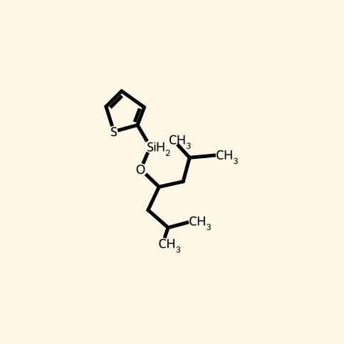 CC(C)CC(CC(C)C)O[SiH2]c1cccs1